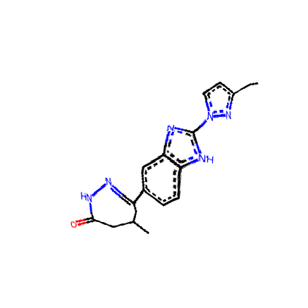 Cc1ccn(-c2nc3cc(C4=NNC(=O)CC4C)ccc3[nH]2)n1